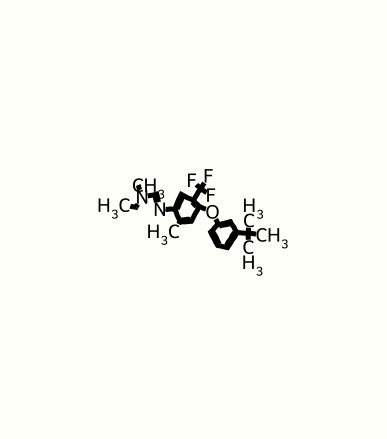 CCN(C)C=Nc1cc(C(F)(F)F)c(Oc2cccc(C(C)(C)C)c2)cc1C